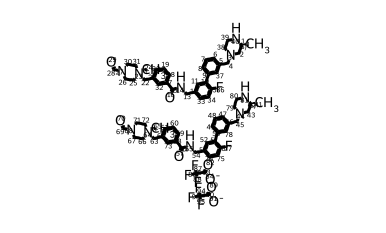 C[C@H]1CN(Cc2cccc(-c3cc(CNC(=O)c4cccc(C[N+]5(C)CCN(C=O)CC5)c4)ccc3F)c2)CCN1.C[C@H]1CN(Cc2cccc(-c3cc(CNC(=O)c4cccc(C[N+]5(C)CCN(C=O)CC5)c4)ccc3F)c2)CCN1.O=C([O-])C(F)(F)F.O=C([O-])C(F)(F)F